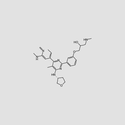 C=N/C(=C\C(=C/C)c1nc(-c2cccc(OCC(O)CNC)c2)nc(N[C@@H]2CCOC2)c1C)NC